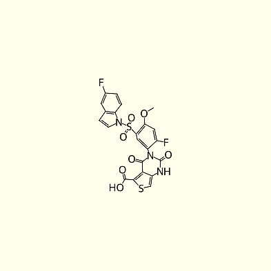 COc1cc(F)c(-n2c(=O)[nH]c3csc(C(=O)O)c3c2=O)cc1S(=O)(=O)n1ccc2cc(F)ccc21